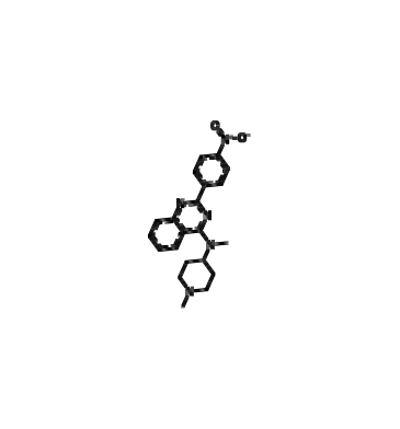 CN1CCC(N(C)c2nc(-c3ccc([N+](=O)[O-])cc3)nc3ccccc23)CC1